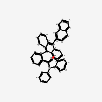 c1ccc(-n2c(-c3ccccc3-c3c4ccccc4c(-c4ccc5ccccc5c4)c4ccccc34)nc3ccccc32)cc1